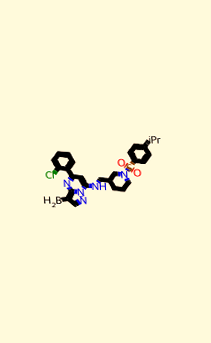 Bc1cnn2c(NCC3CCCN(S(=O)(=O)c4ccc(C(C)C)cc4)C3)cc(-c3ccccc3Cl)nc12